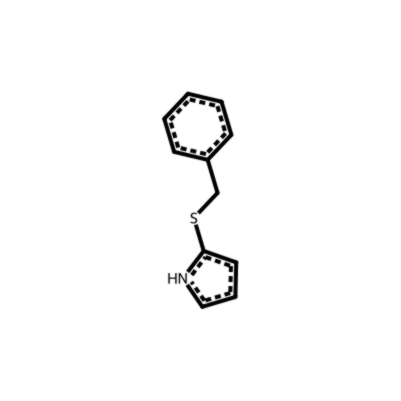 c1ccc(CSc2ccc[nH]2)cc1